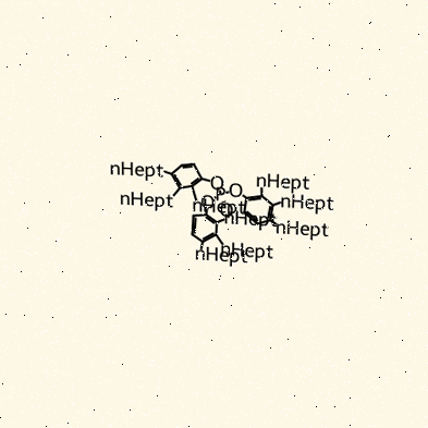 CCCCCCCc1ccc(OP(=O)(Oc2ccc(CCCCCCC)c(CCCCCCC)c2CCCCCCC)Oc2ccc(CCCCCCC)c(CCCCCCC)c2CCCCCCC)c(CCCCCCC)c1CCCCCCC